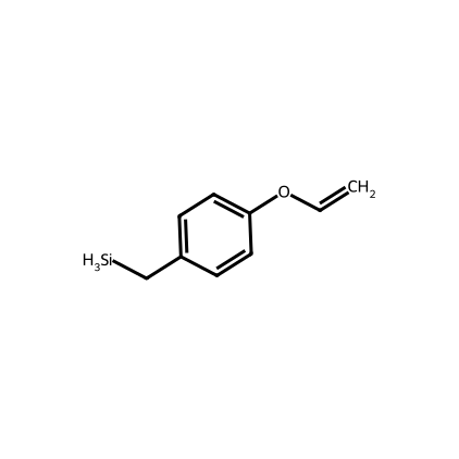 C=COc1ccc(C[SiH3])cc1